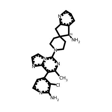 Cc1nc(N2CCC3(CC2)Cc2ncccc2[C@H]3N)n2ccnc2c1-c1ccnc(N)c1Cl